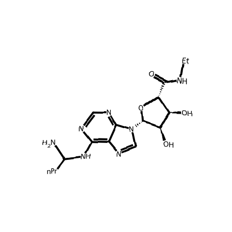 CCCC(N)Nc1ncnc2c1ncn2[C@@H]1O[C@H](C(=O)NCC)[C@@H](O)[C@H]1O